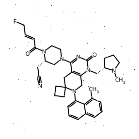 Cc1cccc2cccc(N3Cc4c(c(N5CCN(C(=O)/C=C/CF)[C@@H](CC#N)C5)nc(=O)n4C[C@@H]4CCCN4C)CC34CCC4)c12